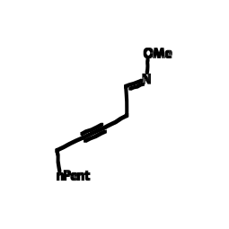 [CH2]CCCCCC#CCC=NOC